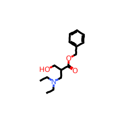 CCN(CC)CC(CO)C(=O)OCc1ccccc1